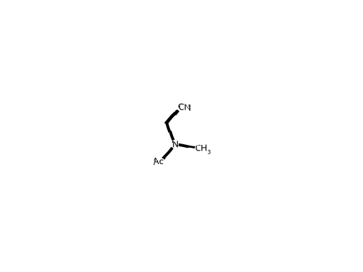 CC(=O)N(C)CC#N